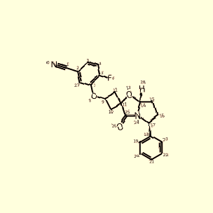 N#Cc1ccc(F)c(OC2CC3(C2)O[C@@H]2CC[C@@H](c4ccccc4)N2C3=O)c1